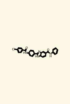 O=C(Nc1ccccc1)C1=CC2N=C(c3ccc(NC(=O)c4ccc(Cl)cc4)cc3)NC2C=C1